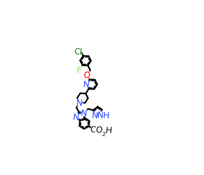 O=C(O)c1ccc2nc(CN3CCC(c4cccc(OCc5ccc(Cl)cc5F)n4)CC3)n(Cc3cc[nH]n3)c2c1